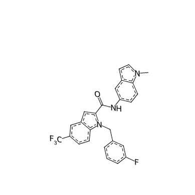 Cn1ccc2cc(NC(=O)c3cc4cc(C(F)(F)F)ccc4n3Cc3cccc(F)c3)ccc21